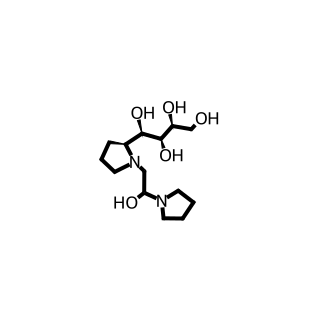 OC[C@H](O)[C@@H](O)[C@H](O)[C@@H]1CCCN1CC(O)N1CCCC1